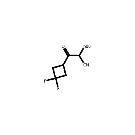 CCCCC(C#N)C(=O)C1CC(F)(F)C1